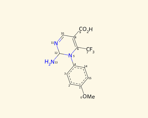 COc1ccc(N2C(C(F)(F)F)=C(C(=O)O)C=NC2N)cc1